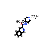 O=C(NC1(C(=O)O)CCN(C(=O)O)CC1)C1Cc2ccccc2CN1